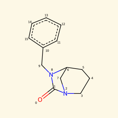 O=C1N2CCCC(C2)N1Cc1ccccc1